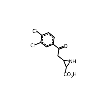 O=C(CC1NC1C(=O)O)c1ccc(Cl)c(Cl)c1